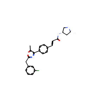 Cc1oc(Cc2cccc(Cl)c2)nc1-c1ccc(/C=C/C(=O)N[C@H]2CN[C@H](C)C2)cc1